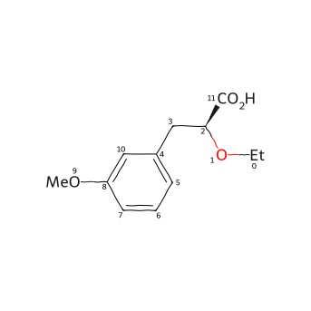 CCO[C@@H](Cc1cccc(OC)c1)C(=O)O